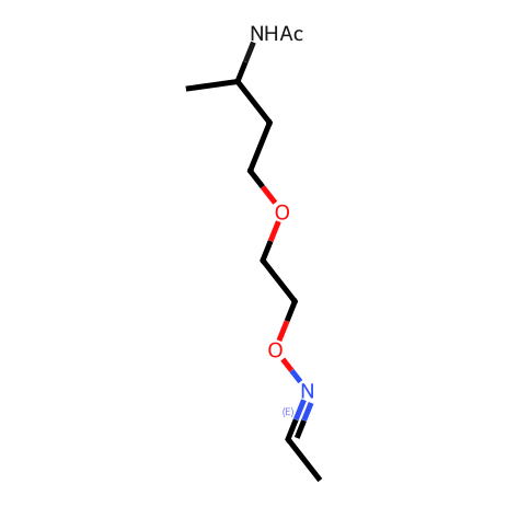 C/C=N/OCCOCCC(C)NC(C)=O